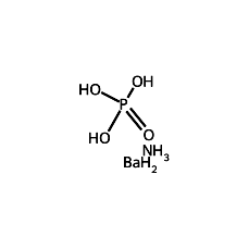 N.O=P(O)(O)O.[BaH2]